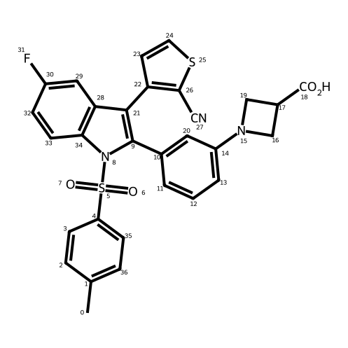 Cc1ccc(S(=O)(=O)n2c(-c3cccc(N4CC(C(=O)O)C4)c3)c(-c3ccsc3C#N)c3cc(F)ccc32)cc1